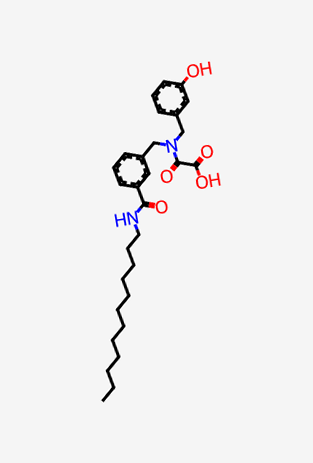 CCCCCCCCCCCCNC(=O)c1cccc(CN(Cc2cccc(O)c2)C(=O)C(=O)O)c1